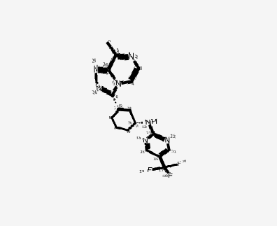 Cc1nccn2c([C@H]3CCC[C@@H](Nc4ncc(C(F)(F)F)cn4)C3)nnc12